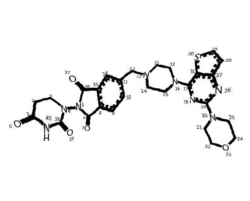 O=C1CCN(N2C(=O)c3ccc(CN4CCN(c5nc(N6CCOCC6)nc6ccsc56)CC4)cc3C2=O)C(=O)N1